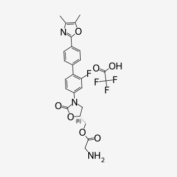 Cc1nc(-c2ccc(-c3ccc(N4C[C@H](COC(=O)CN)OC4=O)cc3F)cc2)oc1C.O=C(O)C(F)(F)F